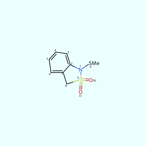 CSN1c2ccccc2CS1(=O)=O